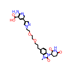 Cn1c(=O)n(C2CCC(=O)NC2=O)c2ccc(CCCOCCOCCn3cc(-c4cnc(N)c(C(=O)O)c4)cn3)cc21